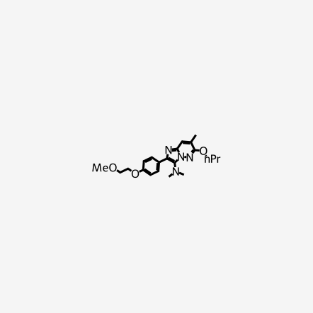 CCCOc1nn2c(N(C)C)c(-c3ccc(OCCOC)cc3)nc2cc1C